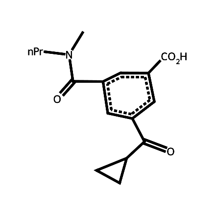 CCCN(C)C(=O)c1cc(C(=O)O)cc(C(=O)C2CC2)c1